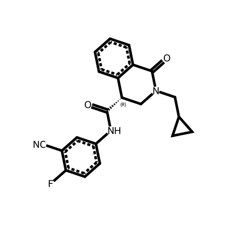 N#Cc1cc(NC(=O)[C@H]2CN(CC3CC3)C(=O)c3ccccc32)ccc1F